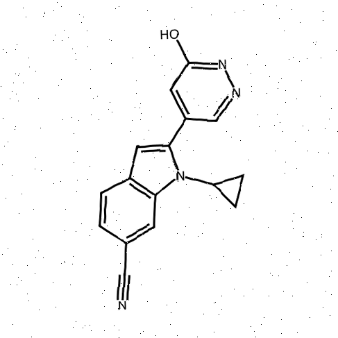 N#Cc1ccc2cc(-c3cnnc(O)c3)n(C3CC3)c2c1